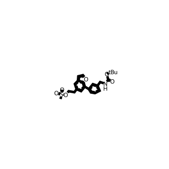 CC(C)(C)OC(=O)NCc1cccc(-c2cc(CCOS(C)(=O)=O)cc3ccoc23)c1